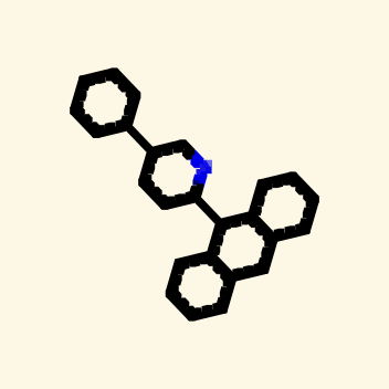 c1ccc(-c2ccc(-c3c4ccccc4cc4ccccc34)nc2)cc1